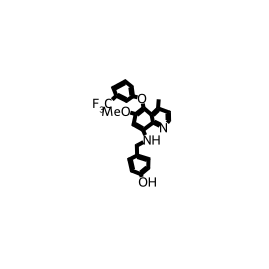 COc1cc(NCc2ccc(O)cc2)c2nccc(C)c2c1Oc1cccc(C(F)(F)F)c1